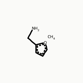 C.NCc1ccco1